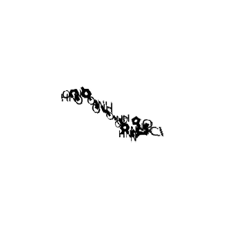 Cc1cc(S(=O)(=O)NCCOCCNC(=O)COc2ccc(C)c(N3CCC(=O)NC3=O)c2)ccc1Nc1ncc2cc(Cl)c(=O)n(C3CCCC3)c2n1